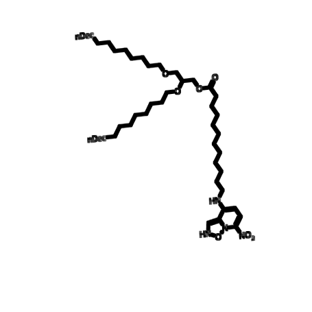 CCCCCCCCCCCCCCCCCCOCC(COC(=O)CCCCCCCCCCCNC1=CC=C([N+](=O)[O-])N2ONC=C12)OCCCCCCCCCCCCCCCCCC